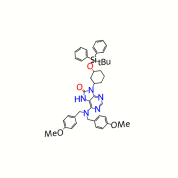 COc1ccc(CN(Cc2ccc(OC)cc2)c2ncnc3c2[nH]c(=O)n3C2CCCC(O[Si](c3ccccc3)(c3ccccc3)C(C)(C)C)C2)cc1